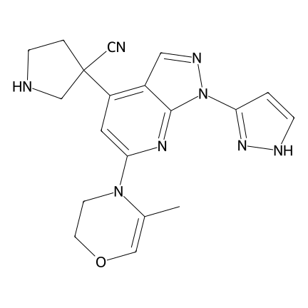 CC1=COCCN1c1cc(C2(C#N)CCNC2)c2cnn(-c3cc[nH]n3)c2n1